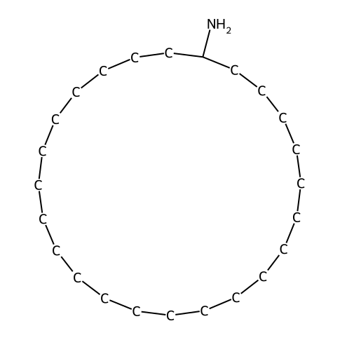 NC1CCCCCCCCCCCCCCCCCCCCCCC1